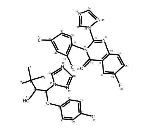 CC(C)(C)C(O)C(Oc1ccc(Cl)cc1)n1cncn1.O=c1c2cc(F)ccc2nc(-n2cncn2)n1-c1ccc(Cl)cc1Cl